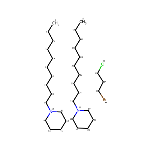 CCCCCCCCCCN1CCCCC1.CCCCCCCCCCN1CCCCC1.ClCCCBr